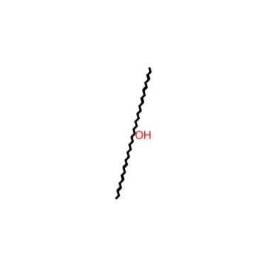 CCC=CCC=CCC=CCCCCCCCC(O)CCCCCCCC=CCC=CCC=CCC